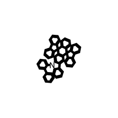 c1ccc(-c2ccccc2-n2c3ccccc3c3cc4c(cc32)C2(c3ccccc3-c3ccccc32)c2ccccc2C42c3ccccc3-c3ccccc32)cc1